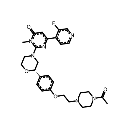 CC(=O)N1CCN(CCOc2ccc([C@H]3CN(c4nc(-c5ccncc5F)cc(=O)n4C)CCO3)cc2)CC1